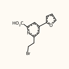 O=C(O)c1cc(-c2ccco2)cc(CCBr)n1